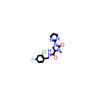 CN1C(=O)N(c2ncccn2)CC1C(=O)NCC1=C(Cl)CC(F)C=C1